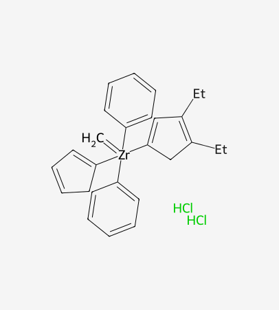 Cl.Cl.[CH2]=[Zr]([C]1=CC=CC1)([C]1=CC(CC)=C(CC)C1)([c]1ccccc1)[c]1ccccc1